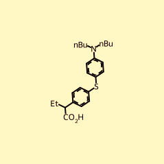 CCCCN(CCCC)c1ccc(Sc2ccc(C(CC)C(=O)O)cc2)cc1